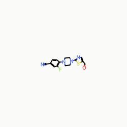 N#Cc1ccc(N2CCN(c3ncc(C=O)s3)CC2)c(F)c1